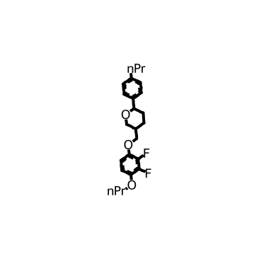 CCCOc1ccc(OCC2CCC(c3ccc(CCC)cc3)OC2)c(F)c1F